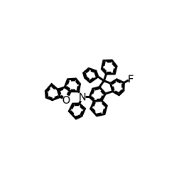 Fc1ccc2c(c1)C(c1ccccc1)(c1ccccc1)c1cc(N(c3ccccc3)c3cccc4c3oc3ccccc34)c3ccccc3c1-2